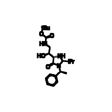 CC(C)C1N[C@@H]([C@@H](O)CNC(=O)OC(C)(C)C)C(=O)N1[C@@H](C)c1ccccc1